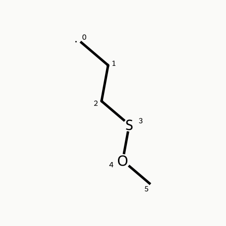 [CH2]CCSOC